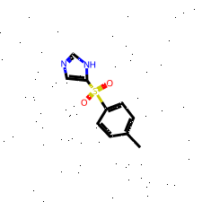 Cc1ccc(S(=O)(=O)c2cnc[nH]2)cc1